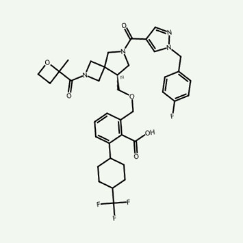 CC1(C(=O)N2CC3(CN(C(=O)c4cnn(Cc5ccc(F)cc5)c4)C[C@H]3COCc3cccc(C4CCC(C(F)(F)F)CC4)c3C(=O)O)C2)CCO1